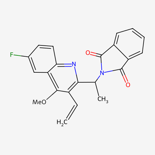 C=Cc1c(C(C)N2C(=O)c3ccccc3C2=O)nc2ccc(F)cc2c1OC